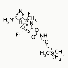 C[C@]1(c2cc(N)cnc2F)N=C(OC(=O)NCOCC[Si](C)(C)C)S[C@@]2(CF)C[C@H]21